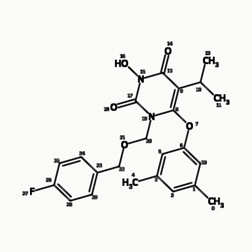 Cc1cc(C)cc(Oc2c(C(C)C)c(=O)n(O)c(=O)n2COCc2ccc(F)cc2)c1